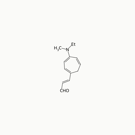 CCN(C)C1=CC=C(/C=C/C=O)CC=C1